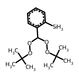 CC(C)(C)OOC(OOC(C)(C)C)c1ccccc1[SiH3]